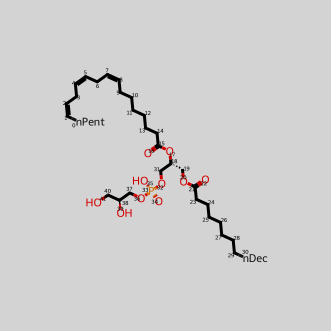 CCCCC/C=C\C/C=C\C/C=C\CCCCCCC(=O)O[C@H](COC(=O)CCCCCCCCCCCCCCCCC)COP(=O)(O)OC[C@@H](O)CO